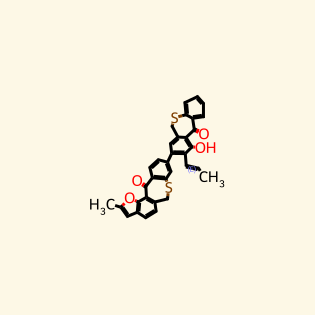 C/C=C/c1c(-c2ccc3c(c2)SCc2ccc4cc(C)oc4c2C3=O)cc2c(c1O)C(=O)c1ccccc1SC2